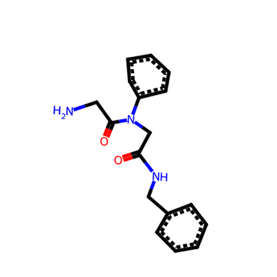 NCC(=O)N(CC(=O)NCc1ccccc1)c1ccccc1